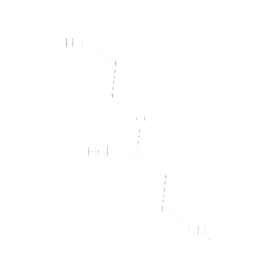 C=CCOOCC=C.Cl